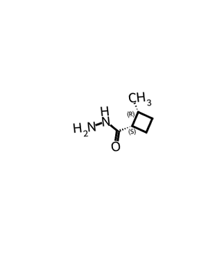 C[C@@H]1CC[C@@H]1C(=O)NN